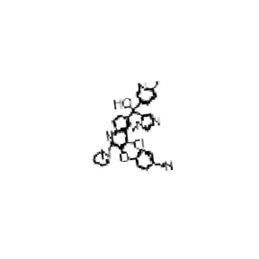 Cc1ccc(C(O)(c2ccc3nc(N4CCCC4)c(Oc4ccc(C#N)cc4)c(Cl)c3c2)c2cncn2C)cn1